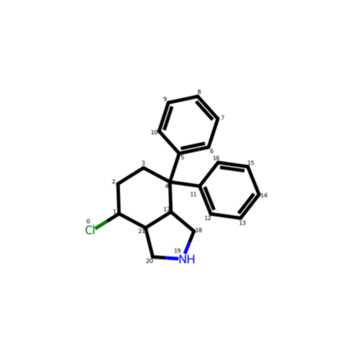 ClC1CCC(c2ccccc2)(c2ccccc2)C2CNCC12